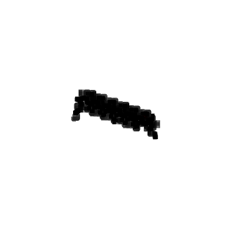 CCOC(=S)SC(CC(CC(CC(CC(CC(CC(CC(CC(CC(CC(CC(CC(C)C(=O)OCCOC)P(=O)(O)O)P(=O)(O)O)P(=O)(O)O)P(=O)(O)O)P(=O)(O)O)P(=O)(O)O)P(=O)(O)O)P(=O)(O)O)P(=O)(O)O)P(=O)(O)O)P(=O)(O)O)P(=O)(O)O